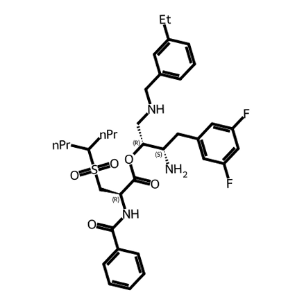 CCCC(CCC)S(=O)(=O)C[C@H](NC(=O)c1ccccc1)C(=O)O[C@H](CNCc1cccc(CC)c1)[C@@H](N)Cc1cc(F)cc(F)c1